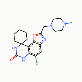 CN1CCN(Cc2nc3cc(Cl)c4c(c3o2)C2(CCCCC2)NC(=O)N4)CC1